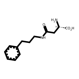 N[C@@H](CC(=O)NCCCc1ccccc1)C(=O)O